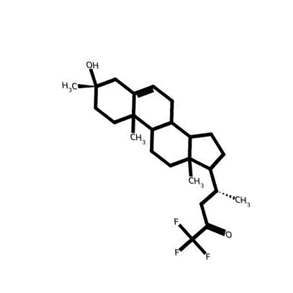 C[C@H](CC(=O)C(F)(F)F)C1CCC2C3CC=C4C[C@@](C)(O)CCC4(C)C3CCC21C